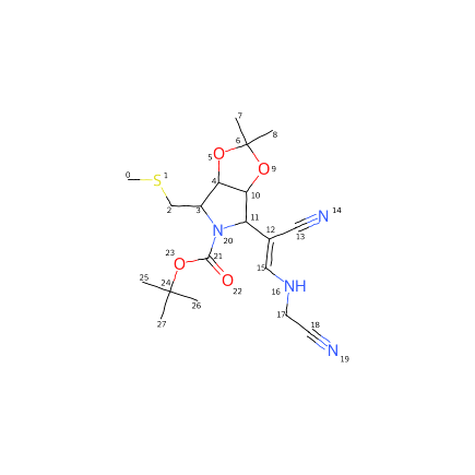 CSCC1C2OC(C)(C)OC2C(C(C#N)=CNCC#N)N1C(=O)OC(C)(C)C